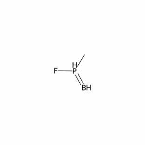 B=[PH](C)F